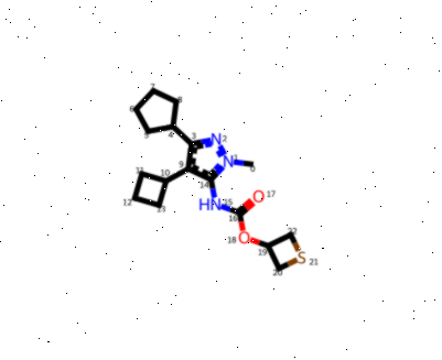 Cn1nc(C2CCCC2)c(C2CCC2)c1NC(=O)OC1CSC1